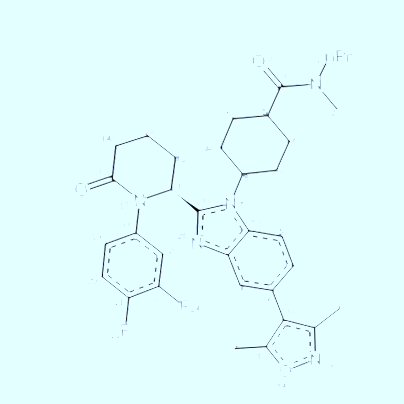 CCCN(C)C(=O)C1CCC(n2c([C@@H]3CCCC(=O)N3c3ccc(F)c(F)c3)nc3cc(-c4c(C)noc4C)ccc32)CC1